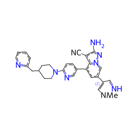 CN/C=C(\C=N)c1cc(-c2ccc(N3CCC(Cc4ccccn4)CC3)nc2)c2c(C#N)c(N)nn2c1